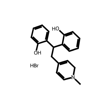 Br.CN1C=CC(CC(c2ccccc2O)c2ccccc2O)=CC1